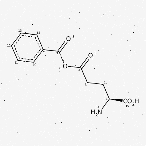 N[C@@H](CCC(=O)OC(=O)c1ccccc1)C(=O)O